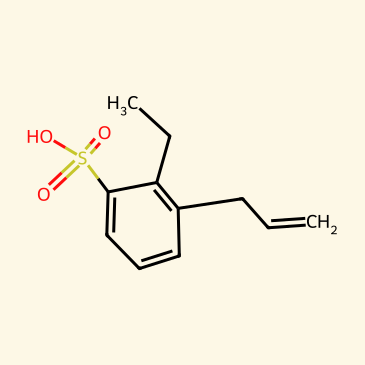 C=CCc1cccc(S(=O)(=O)O)c1CC